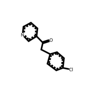 O=C(Cc1ccc(Cl)cc1)c1cccnc1